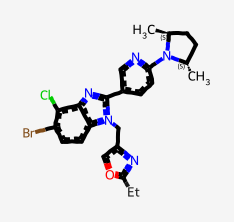 CCc1nc(Cn2c(-c3ccc(N4[C@@H](C)CC[C@@H]4C)nc3)nc3c(Cl)c(Br)ccc32)co1